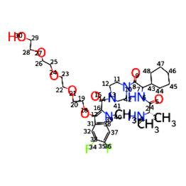 CN[C@@H](C)C(=O)NC(C(=O)N1CCN(C(=O)c2c(OCCOCCOCCOCCO)c3cc(F)c(F)cc3n2C)CC1)C1CCCCC1